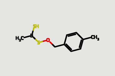 CB(S)SOCc1ccc(C)cc1